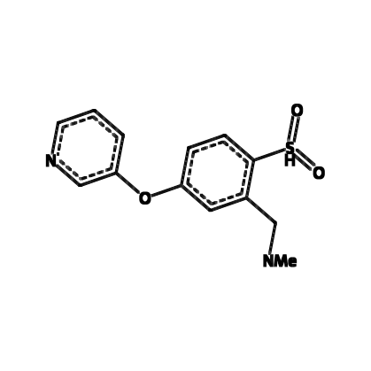 CNCc1cc(Oc2cccnc2)ccc1[SH](=O)=O